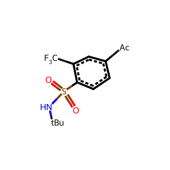 CC(=O)c1ccc(S(=O)(=O)NC(C)(C)C)c(C(F)(F)F)c1